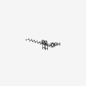 CCCCCCCCCCCC(=O)NC(=O)NCCc1ccc(O)cc1